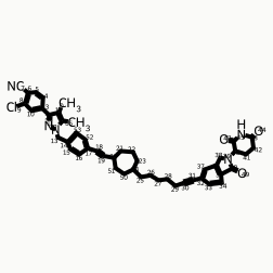 Cc1c(-c2ccc(C#N)c(Cl)c2)nn(Cc2ccc(C#CC3CCCC(CCCCCC#Cc4ccc5c(c4)CN(C4CCC(=O)NC4=O)C5=O)CC3)cc2)c1C